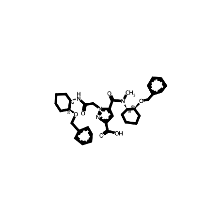 CN(C(=O)c1cc(C(=O)O)nn1CC(=O)N[C@H]1CCCC[C@@H]1OCc1ccccc1)[C@H]1CCCC[C@@H]1OCc1ccccc1